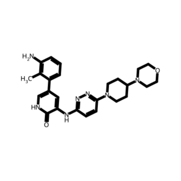 Cc1c(N)cccc1-c1c[nH]c(=O)c(Nc2ccc(N3CCC(N4CCOCC4)CC3)nn2)c1